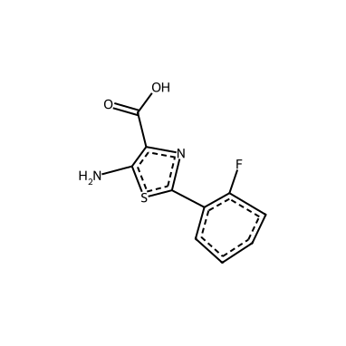 Nc1sc(-c2ccccc2F)nc1C(=O)O